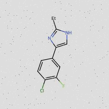 CCc1nc(-c2ccc(Cl)c(F)c2)c[nH]1